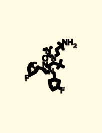 CN(C)C(=O)N(CCC(C)(C)N)[C@@H](c1nc(-c2cccc(F)c2)cn1Cc1cccc(F)c1)C(C)(C)C